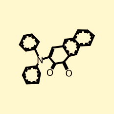 O=C1C(=O)c2cc3ccccc3cc2C=C1N(c1ccccc1)c1ccccc1